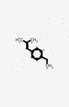 CCc1ccc(C=C(C)C)cc1